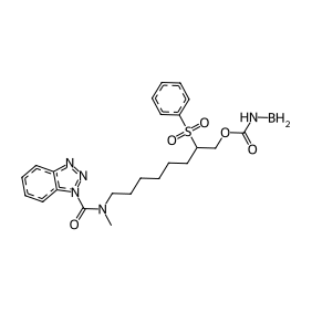 BNC(=O)OCC(CCCCCCN(C)C(=O)n1nnc2ccccc21)S(=O)(=O)c1ccccc1